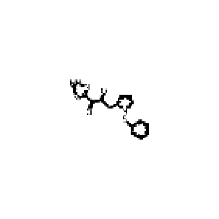 O=C(Cc1cccn1Sc1ccccc1)C(=O)c1nc[nH]n1